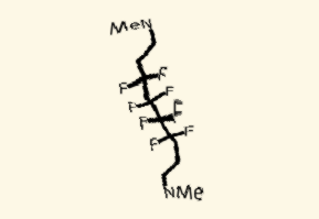 CNCCC(F)(F)C(F)(F)C(F)(F)C(F)(F)CCNC